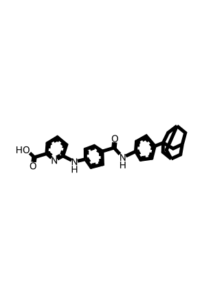 O=C(Nc1ccc(C23CC4CC(CC(C4)C2)C3)cc1)c1ccc(Nc2cccc(C(=O)O)n2)cc1